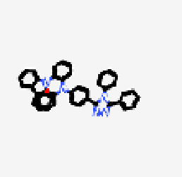 c1ccc(-c2nnc(-c3ccc(N(c4ccccc4)c4ccccc4-n4c5ccccc5c5ccccc54)cc3)n2-c2ccccc2)cc1